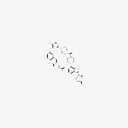 CNC(=O)COc1cc2cc(Nc3nc(N4CCN(C(=O)C5CCN(c6cccc7c(C8CCC(=O)NC8=O)nn(C)c67)CC5)CC4)ncc3Cl)ccc2n(C)c1=O